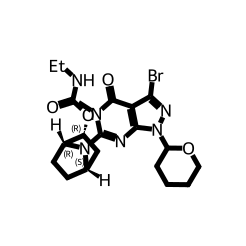 CCNC(=O)O[C@@H]1C[C@@H]2CC[C@H]1N2c1nc2c(c(Br)nn2C2CCCCO2)c(=O)n1C